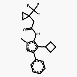 Cn1nc(-c2ccccc2)c(C2CCC2)c1NC(=O)CC1(C(F)(F)F)CC1